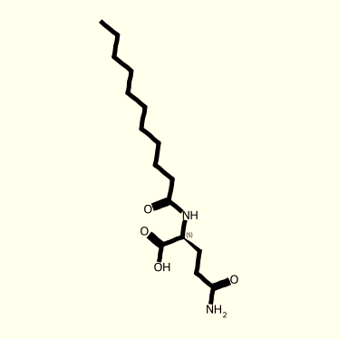 CCCCCCCCCCC(=O)N[C@@H](CCC(N)=O)C(=O)O